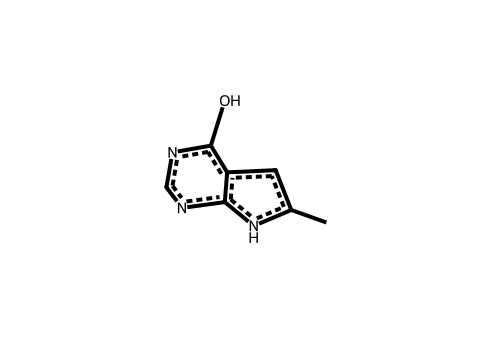 Cc1cc2c(O)ncnc2[nH]1